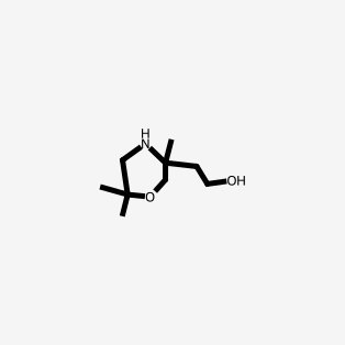 CC1(CCO)COC(C)(C)CN1